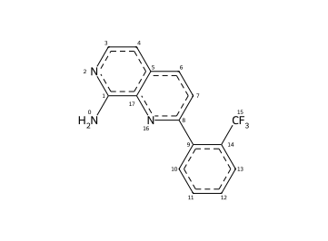 Nc1nccc2ccc(-c3ccccc3C(F)(F)F)nc12